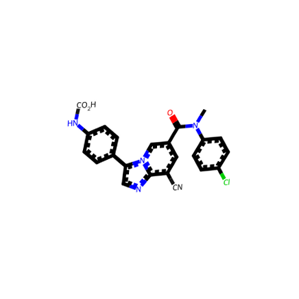 CN(C(=O)c1cc(C#N)c2ncc(-c3ccc(NC(=O)O)cc3)n2c1)c1ccc(Cl)cc1